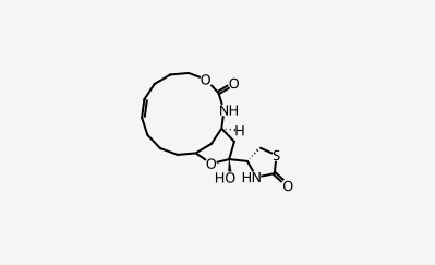 O=C1N[C@@H]2CC(CCC/C=C\CCCO1)O[C@@](O)([C@@H]1CSC(=O)N1)C2